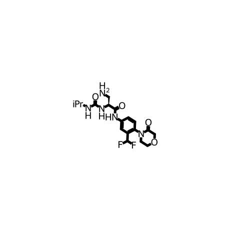 CC(C)NC(=O)N[C@@H](CN)C(=O)Nc1ccc(N2CCOCC2=O)c(C(F)F)c1